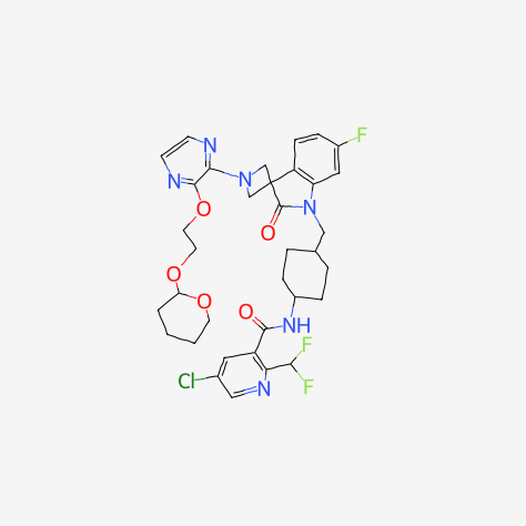 O=C(NC1CCC(CN2C(=O)C3(CN(c4nccnc4OCCOC4CCCCO4)C3)c3ccc(F)cc32)CC1)c1cc(Cl)cnc1C(F)F